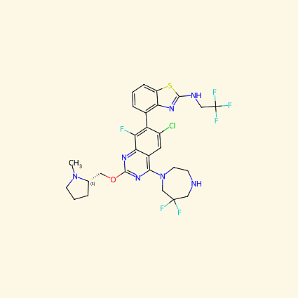 CN1CCC[C@H]1COc1nc(N2CCNCC(F)(F)C2)c2cc(Cl)c(-c3cccc4sc(NCC(F)(F)F)nc34)c(F)c2n1